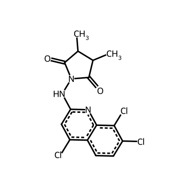 CC1C(=O)N(Nc2cc(Cl)c3ccc(Cl)c(Cl)c3n2)C(=O)C1C